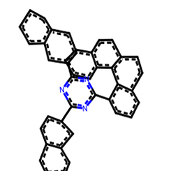 c1ccc2cc(-c3nc(-c4ccc5ccccc5c4)nc(-c4cccc5ccc6ccc7ccccc7c6c45)n3)ccc2c1